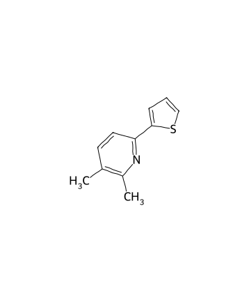 Cc1ccc(-c2cccs2)nc1C